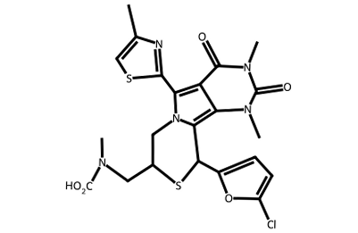 Cc1csc(-c2c3c(=O)n(C)c(=O)n(C)c3c3n2CC(CN(C)C(=O)O)SC3c2ccc(Cl)o2)n1